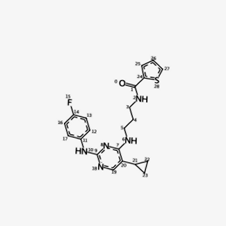 O=C(NCCCNc1nc(Nc2ccc(F)cc2)ncc1C1CC1)c1cccs1